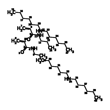 C=CC(=O)NCC.C=CC(=O)NCCC.CCCCCCNCCCCCC.CCCCCCNCCCCCC